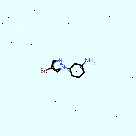 N[C@H]1CCC[C@@H](n2cc(Br)cn2)C1